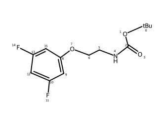 CC(C)(C)OC(=O)NCCOc1cc(F)cc(F)c1